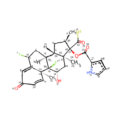 C[C@@H]1C[C@H]2[C@@H]3C[C@H](F)C4=CC(=O)C=C[C@]4(C)[C@@]3(F)[C@@H](O)C[C@]2(C)[C@@]1(OC(=O)c1ccc[nH]1)C(=O)S